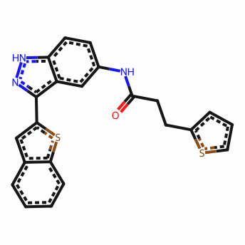 O=C(CCc1cccs1)Nc1ccc2[nH]nc(-c3cc4ccccc4s3)c2c1